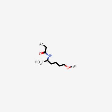 CCCOCCCCC(NC(=O)CC(C)=O)C(=O)O